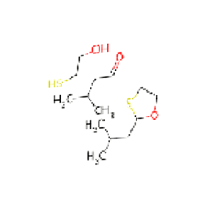 CC(C)CC1OCCS1.CC(C)CC=O.OCCS